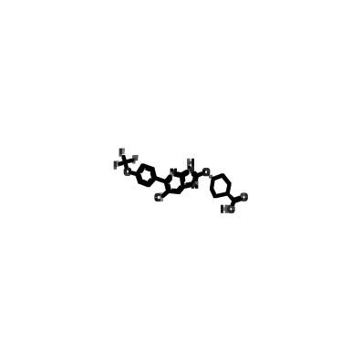 O=C(O)[C@H]1CC[C@H](Oc2nc3cc(Cl)c(-c4ccc(OC(F)(F)F)cc4)nc3[nH]2)CC1